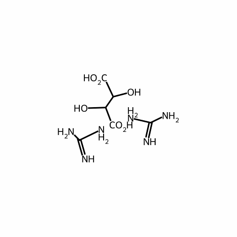 N=C(N)N.N=C(N)N.O=C(O)C(O)C(O)C(=O)O